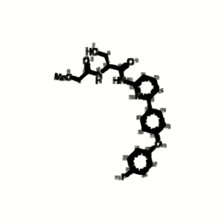 COCC(=O)N[C@@H](CO)C(=O)Nc1cccc(-c2ccc(Oc3ccc(F)cc3)cc2)n1